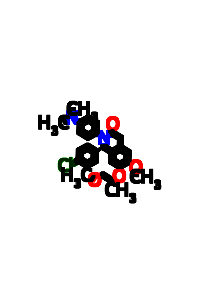 COCC(C)Oc1cc2c(cc1OC)CC(=O)N(c1ccc(N(C)C)cc1)[C@H]2c1ccc(Cl)cc1